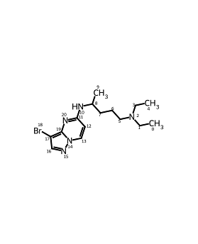 CCN(CC)CCCC(C)Nc1ccn2ncc(Br)c2n1